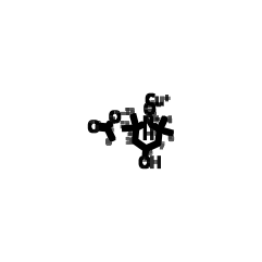 CC(=O)[O-].CC1(C)CC(O)CC(C)(C)[NH+]1[O-].[Cu+]